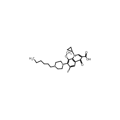 CCCCCCN1CCN(c2c(F)cc3c(=O)c(C(=O)O)cn(C4CC4)c3c2OC)CC1